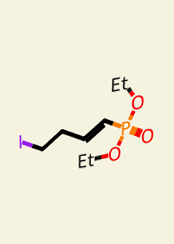 CCOP(=O)(C=CCCI)OCC